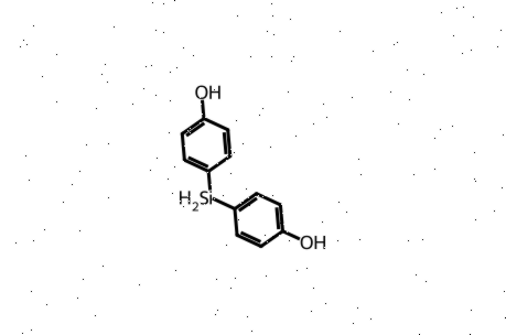 Oc1ccc([SiH2]c2ccc(O)cc2)cc1